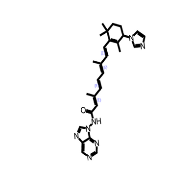 CC1=C(/C=C/C(C)=C/C=C/C(C)=C/C(=O)Nn2cnc3cncnc32)C(C)(C)CCC1n1ccnc1